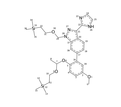 COc1ccc(OC(C)OCC[Si](C)(C)C)c(-c2ccc3c(-c4ncc[nH]4)nn(COCC[Si](C)(C)C)c3c2)c1